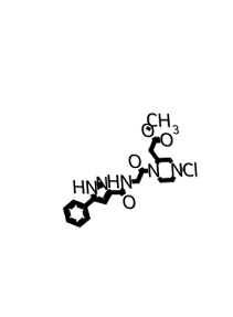 COC(=O)CC1CN(Cl)CCN1C(=O)CNC(=O)c1cc(-c2ccccc2)[nH]n1